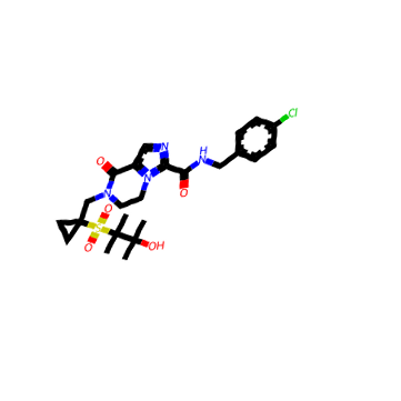 CC(C)(O)C(C)(C)S(=O)(=O)C1(CN2CCn3c(cnc3C(=O)NCc3ccc(Cl)cc3)C2=O)CC1